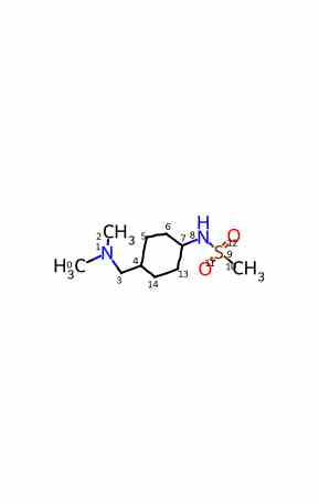 CN(C)CC1CCC(NS(C)(=O)=O)CC1